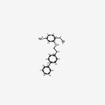 N#Cc1ccc(CBr)c(OCCc2ccc(-c3ccccc3)cc2)c1